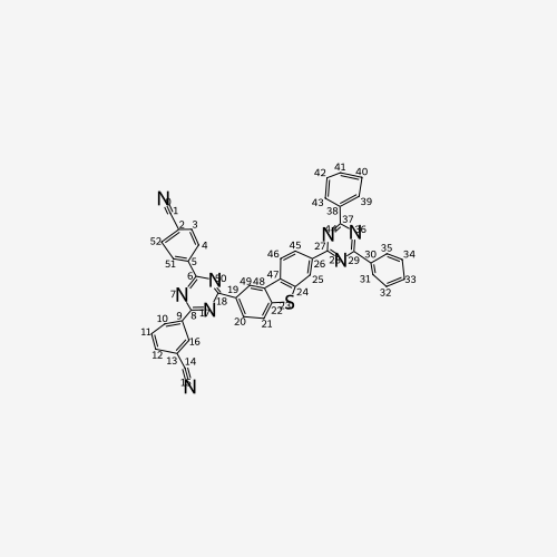 N#Cc1ccc(-c2nc(-c3cccc(C#N)c3)nc(-c3ccc4sc5cc(-c6nc(-c7ccccc7)nc(-c7ccccc7)n6)ccc5c4c3)n2)cc1